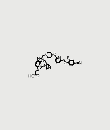 CCn1cncc1Cn1c(CN2CCC(Oc3cccc(COc4ccc(C#N)cc4F)n3)CC2)nc2ccc(CCC(=O)O)nc21